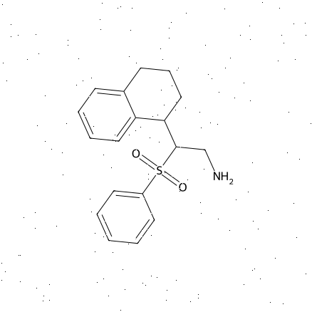 NCC(C1CCCc2ccccc21)S(=O)(=O)c1ccccc1